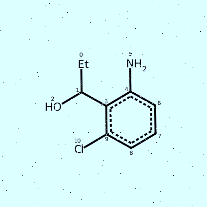 CCC(O)c1c(N)cccc1Cl